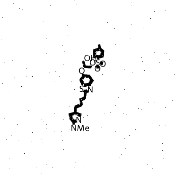 CNc1ccc(C=CC=Cc2nc3ccc(OC(CO)COS(=O)(=O)c4ccc(C)cc4)cc3s2)cn1